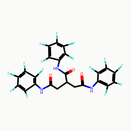 O=C(CC(CC(=O)Nc1c(F)c(F)c(F)c(F)c1F)C(=O)Nc1c(F)c(F)c(F)c(F)c1F)Nc1c(F)c(F)c(F)c(F)c1F